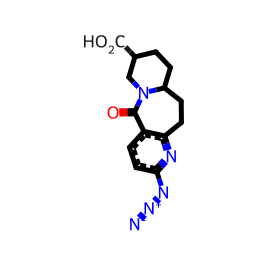 [N-]=[N+]=Nc1ccc2c(n1)CCC1CCC(C(=O)O)CN1C2=O